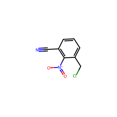 N#Cc1cccc(CCl)c1[N+](=O)[O-]